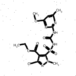 CCOC(=O)c1c(Cl)nn(C)c1S(=O)(=O)NC(=O)Nc1nc(C)cc(OC)n1